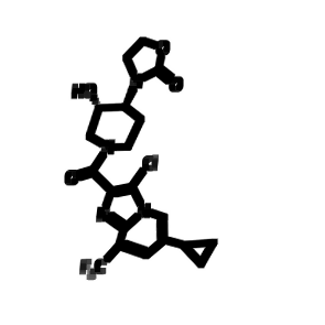 O=C(c1nc2c(C(F)(F)F)cc(C3CC3)cn2c1Cl)N1CC[C@H](N2CCOC2=O)[C@@H](O)C1